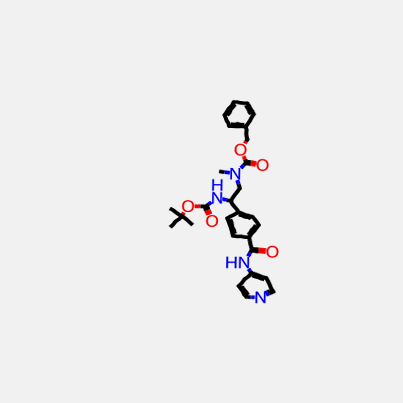 CN(CC(NC(=O)OC(C)(C)C)c1ccc(C(=O)Nc2ccncc2)cc1)C(=O)OCc1ccccc1